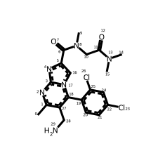 Cc1nc2nc(C(=O)N(C)CC(=O)N(C)C)cn2c(-c2ccc(Cl)cc2Cl)c1CN